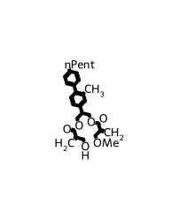 C=C(CO)C(=O)OCC(COC(=O)C(=C)COC)c1ccc(-c2ccc(CCCCC)cc2)c(C)c1